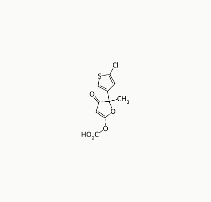 CC1(c2csc(Cl)c2)OC(OC(=O)O)=CC1=O